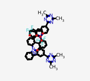 Cc1nc(C)nc(-c2ccc3c(c2)c2ccccc2n3-c2cccc(C#N)c2-c2c(-c3c(C(F)(F)F)cccc3C(F)(F)F)cccc2-n2c3ccccc3c3cc(-c4nc(C)nc(C)n4)ccc32)n1